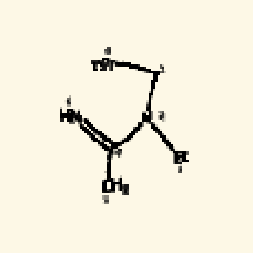 CCCCN(CC)C(C)=N